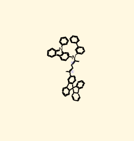 C/C(=C\C=C(/C)N(c1cccc(-c2ccccc2)c1)c1ccc2c3ccccc3n(-c3ccccc3)c2c1)c1ccc2c(c1)-c1ccccc1C21c2ccccc2C2C=CC=CC21